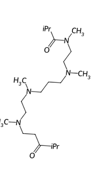 CC(C)C(=O)CCN(C)CCN(C)CCCN(C)CCN(C)C(=O)C(C)C